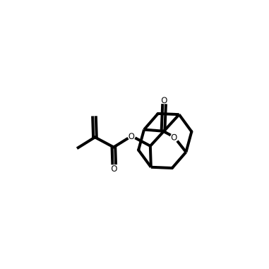 C=C(C)C(=O)OC1C2CC3CC1CC(C2)C(=O)O3